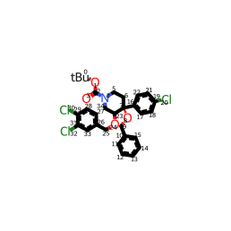 CC(C)(C)OC(=O)N1CC[C@](OCc2ccccc2)(c2ccc(Cl)cc2)C(OCc2ccc(Cl)c(Cl)c2)C1